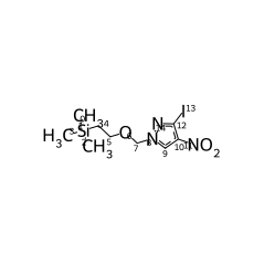 C[Si](C)(C)CCOCn1cc([N+](=O)[O-])c(I)n1